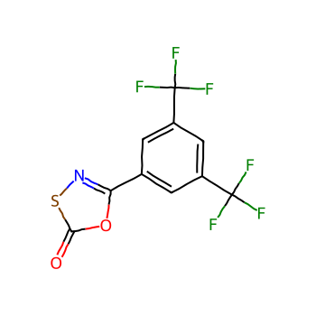 O=c1oc(-c2cc(C(F)(F)F)cc(C(F)(F)F)c2)ns1